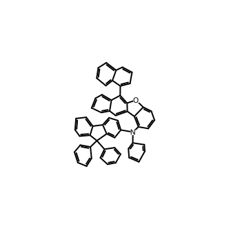 c1ccc(N(c2ccc3c(c2)C(c2ccccc2)(c2ccccc2)c2ccccc2-3)c2cccc3oc4c(-c5cccc6ccccc56)c5ccccc5cc4c23)cc1